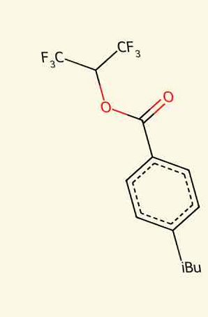 CCC(C)c1ccc(C(=O)OC(C(F)(F)F)C(F)(F)F)cc1